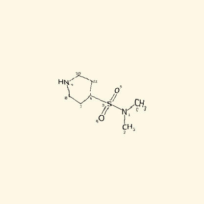 CN(C)S(=O)(=O)C1CCNCC1